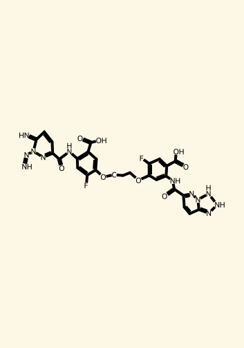 N=Nn1nc(C(=O)Nc2cc(F)c(OCCCOc3cc(NC(=O)C4=NN5NNN=C5C=C4)c(C(=O)O)cc3F)cc2C(=O)O)ccc1=N